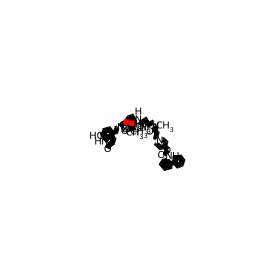 CN(CCCC(=O)Nc1ccc(CN(CCc2ccc(O)c3[nH]c(=O)ccc23)O[Si](C)(C)C(C)(C)C)cc1)C(=O)CCN1CCC(OC(=O)Nc2ccccc2-c2ccccc2)CC1